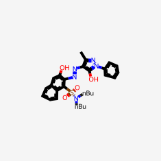 CCCCN(CCCC)S(=O)(=O)c1c(N=Nc2c(C)nn(-c3ccccc3)c2O)c(O)cc2ccccc12